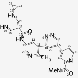 CNC(=O)c1cc(-c2cnnc(-c3cc(NC(=O)/C(C=N)=C/NC4CC4)cnc3C)c2)ccn1